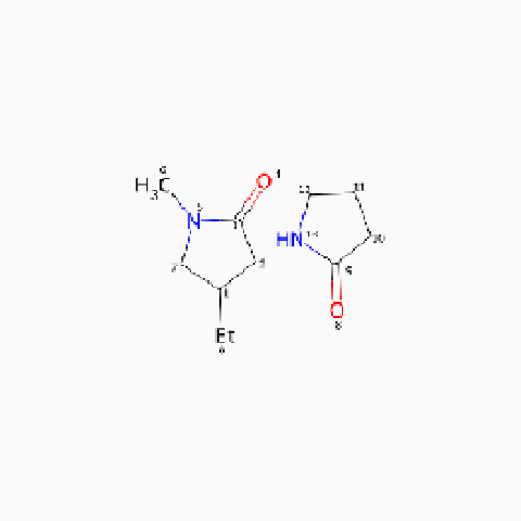 CCC1CC(=O)N(C)C1.O=C1CCCN1